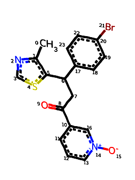 Cc1ncsc1C(CC(=O)c1ccc[n+]([O-])c1)c1ccc(Br)cc1